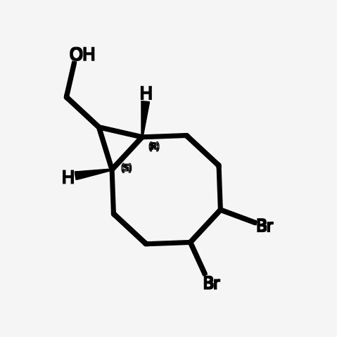 OCC1[C@H]2CCC(Br)C(Br)CC[C@@H]12